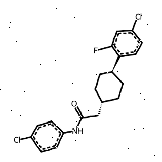 O=C(C[C@H]1CC[C@H](c2ccc(Cl)cc2F)CC1)Nc1ccc(Cl)cc1